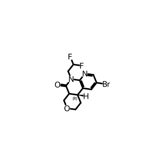 O=C1C2COCC[C@H]2c2cc(Br)cnc2N1CC(F)F